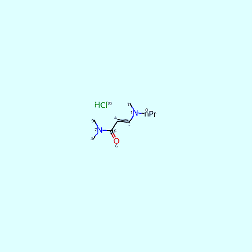 CCCN(C)C=CC(=O)N(C)C.Cl